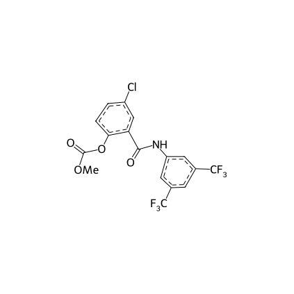 COC(=O)Oc1ccc(Cl)cc1C(=O)Nc1cc(C(F)(F)F)cc(C(F)(F)F)c1